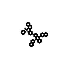 c1ccc2cc(-c3c4ccccc4c(-c4ccc5ccccc5c4)c4cc(-c5ccc6c(c5)c5ccc7ccccc7c5c5nc7ccccc7n65)ccc34)ccc2c1